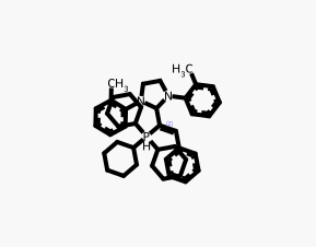 Cc1ccccc1N1CCN(c2ccccc2C)C1/C(=C/c1ccccc1)[PH](C1CCCCC1)(C1CCCCC1)C1CCCCC1